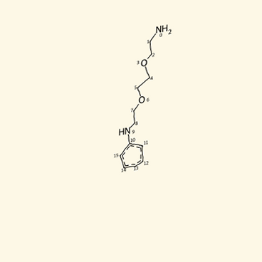 NCCOCCOCCNc1ccccc1